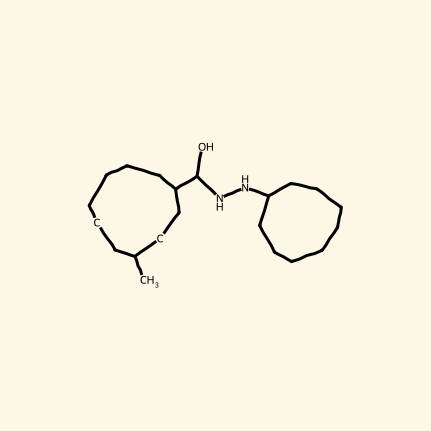 CC1CCCCCCC(C(O)NNC2CCCCCCCC2)CC1